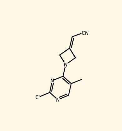 Cc1cnc(Cl)nc1N1CC(=CC#N)C1